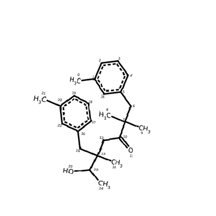 Cc1cccc(CC(C)(C)C(=O)CC(C)(Cc2cccc(C)c2)C(C)O)c1